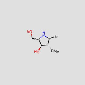 CC[C@@H]1N[C@H](CO)[C@H](O)[C@H]1OC